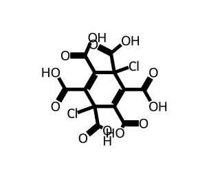 O=C(O)C1=C(C(=O)O)C(Cl)(C(=O)O)C(C(=O)O)=C(C(=O)O)C1(Cl)C(=O)O